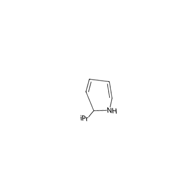 CC(C)C1C=CC=CN1